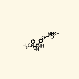 CCN(c1ccccc1)c1ncnc2[nH]c(-c3ccc(OCCCCC(=O)NO)cc3)cc12